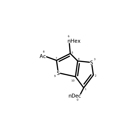 CCCCCCCCCCc1csc2c(CCCCCC)c(C(C)=O)sc12